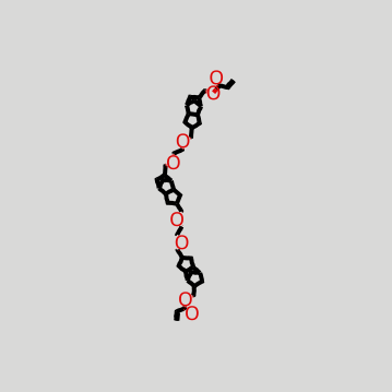 C=CC(=O)OCC1CC2CC1C1CC(COCCOCC3CC4C5CC(COCCOCC6CC7C8CC(COC(=O)C=C)C(C8)C7C6)C(C5)C4C3)CC21